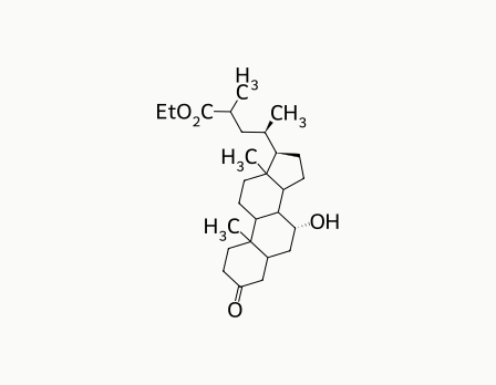 CCOC(=O)C(C)C[C@@H](C)[C@H]1CCC2C3C(CCC21C)C1(C)CCC(=O)CC1C[C@H]3O